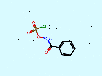 O=C(NOS(=O)(=O)Cl)c1ccccc1